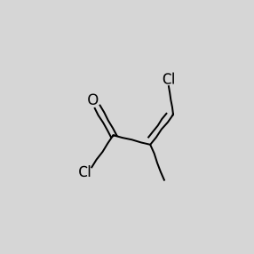 CC(=CCl)C(=O)Cl